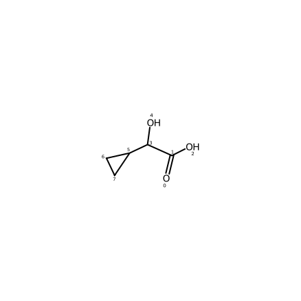 O=C(O)C(O)C1CC1